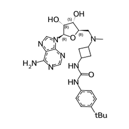 CN(C[C@H]1O[C@@H](n2cnc3c(N)ncnc32)[C@H](O)[C@@H]1O)C1CC(NC(=O)Nc2ccc(C(C)(C)C)cc2)C1